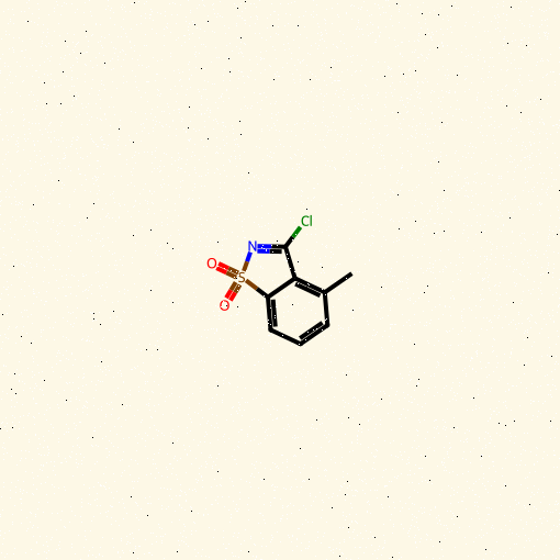 Cc1cccc2c1C(Cl)=NS2(=O)=O